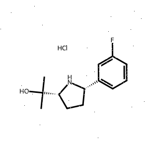 CC(C)(O)[C@H]1CC[C@@H](c2cccc(F)c2)N1.Cl